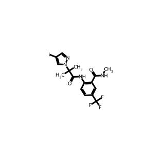 CNC(=O)c1cc(C(F)(F)F)ccc1NC(=O)C(C)(C)n1cc(I)cn1